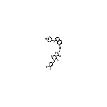 O=C(NCC#Cc1ccc2nccc(OC3CCNCC3)c2c1)c1cncn(Cc2ccc(F)c(F)c2)c1=O